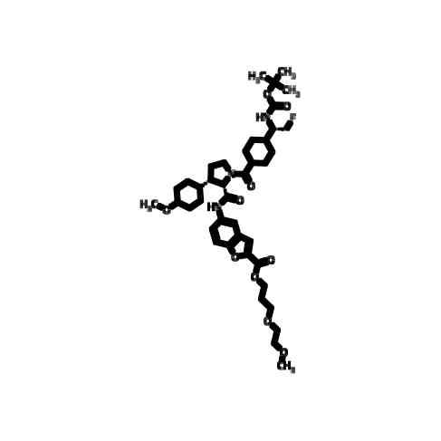 COCCOCCCOC(=O)c1cc2cc(NC(=O)[C@@H]3[C@H](C4CCC(OC)CC4)CCN3C(=O)C3CCC([C@@H](CF)NC(=O)OC(C)(C)C)CC3)ccc2o1